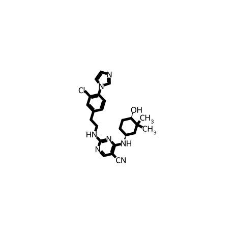 CC1(C)C[C@H](Nc2nc(NCCc3ccc(-n4ccnc4)c(Cl)c3)ncc2C#N)CC[C@@H]1O